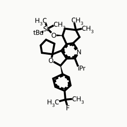 CC(C)c1nc2c(c3c1[C@@H](c1ccc(C(C)(C)F)cc1)OC31CCCC1)[C@@H](O[Si](C)(C)C(C)(C)C)CC(C)(C)C2